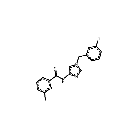 Cc1cccc(C(=O)Nc2cn(Cc3cccc(Cl)c3)cn2)n1